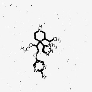 COC(COc1cnc(Br)nc1)C1(c2cnno2)CCNCC1C(C)C